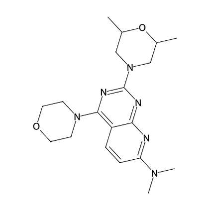 CC1CN(c2nc(N3CCOCC3)c3ccc(N(C)C)nc3n2)CC(C)O1